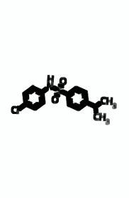 CC(C)c1ccc(S(=O)(=O)Nc2[c]cc(Cl)cc2)cc1